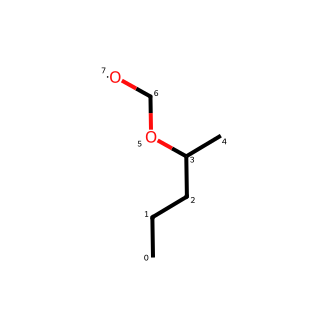 CCCC(C)OC[O]